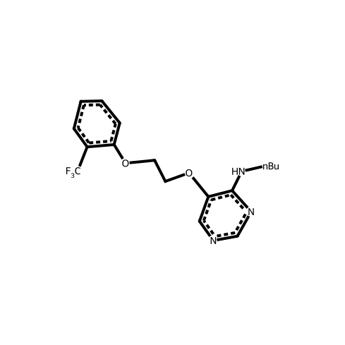 CCCCNc1ncncc1OCCOc1ccccc1C(F)(F)F